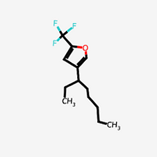 CCCCCC(CC)c1coc(C(F)(F)F)c1